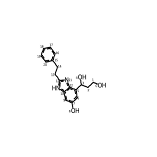 OCCC(O)c1cc(O)cc2[nH]c(CCc3ccccc3)nc12